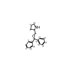 c1ccc(C(OCC2CCCN2)c2ccccc2)cc1